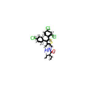 CCC(CC)C(=O)NCc1sc(-c2ccc(Cl)cc2Cl)c(-c2ccc(Cl)cc2)c1C